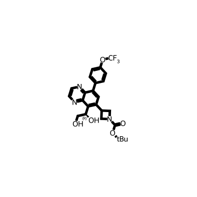 CC(C)(C)OC(=O)N1CC(c2cc(-c3ccc(OC(F)(F)F)cc3)c3nccnc3c2[C@@H](O)CO)C1